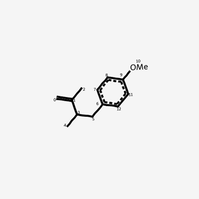 C=C(C)C(C)Cc1ccc(OC)cc1